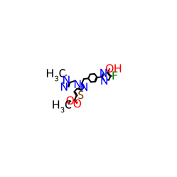 CCn1cncc1Cn1c(CC2CC=C(c3ncc(F)c(O)n3)CC2)nc2sc(C(=O)OC)cc21